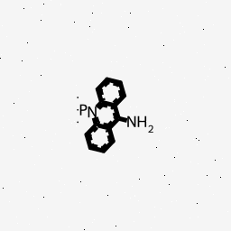 Nc1c2ccccc2nc2ccccc12.[P]